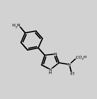 CCN(C(=O)O)c1nc(-c2ccc(N)cc2)c[nH]1